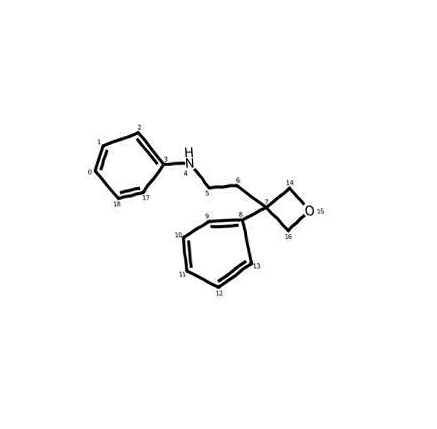 c1ccc(NCCC2(c3ccccc3)COC2)cc1